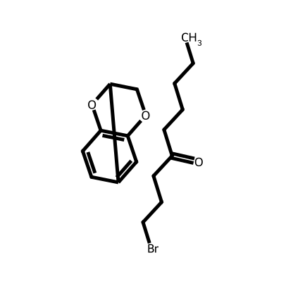 CCCCCC(=O)CCCBr.c1cc2c3cc1C(CO3)O2